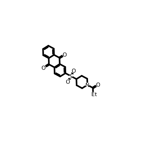 CCC(=O)N1CCC(S(=O)(=O)c2ccc3c(c2)C(=O)c2ccccc2C3=O)CC1